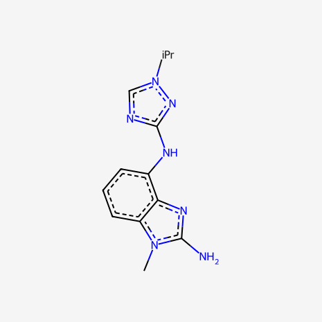 CC(C)n1cnc(Nc2cccc3c2nc(N)n3C)n1